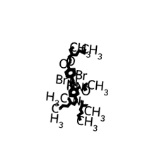 CCCCC(CC)COC(=O)c1cc(Br)c(N=Nc2ccc(N(CC(CC)CCCC)CC(CC)CCCC)cc2NC(=O)CC)c(Br)c1